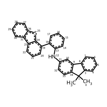 CC1(C)c2ccccc2-c2cc(Nc3ccccc3-c3cccc4c3sc3ccccc34)ccc21